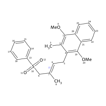 COc1c(C)c(C/C=C(\C)CS(=O)(=O)c2ccccc2)c(OC)c2ccccc12